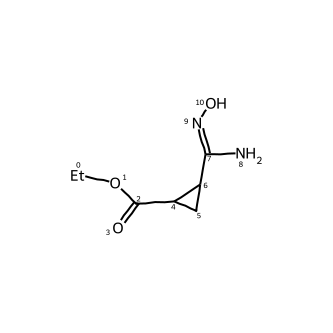 CCOC(=O)C1CC1/C(N)=N/O